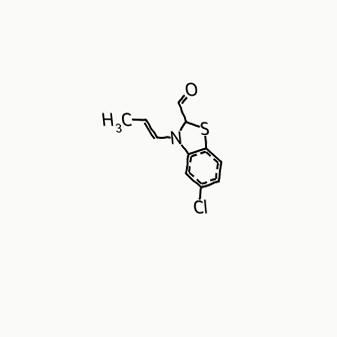 CC=CN1c2cc(Cl)ccc2SC1C=O